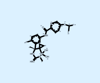 CN1C(=N)N[C@](C)(c2cc(NC(=O)c3ccc(OC(F)F)cn3)ccc2F)C2(CC2)S1(O)O